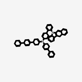 C1=CC2=Cc3c(c4ccccc4n3-c3ccccc3C3C=CC(N(C4=CC=C(c5ccccc5)CC4)C4=CCC(C5=CCC(C6=CCCC=C6)C=C5)CC4)CC3)CC2C=C1